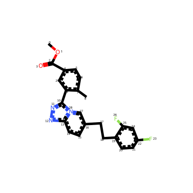 COC(=O)c1ccc(C)c(-c2nnc3ccc(CCc4ccc(F)cc4F)cn23)c1